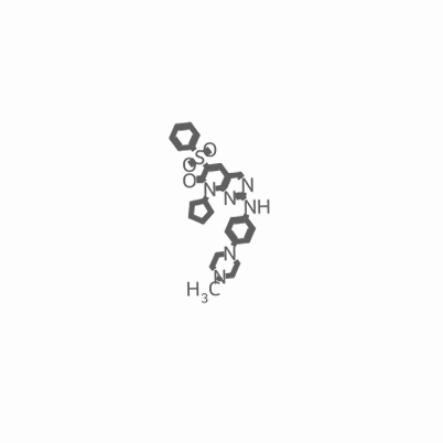 CN1CCN(c2ccc(Nc3ncc4cc(S(=O)(=O)c5ccccc5)c(=O)n(C5CCCC5)c4n3)cc2)CC1